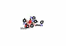 COc1ccc(OCCCCCN(C)C2CCCCC2)c(C2(OC(=O)C(=O)OC3(c4cc(OC)ccc4OCCCCCN(C)C4CCCCC4)Sc4cc(C)ccc4N(C)C3=O)Sc3cc(C)ccc3N(C)C2=O)c1